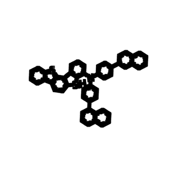 c1cc2c(c(N(c3ccc(-c4ccc5ccccc5c4)cc3)c3ccc(-c4cccc5ccccc45)cc3)c1)[SiH2]c1ccc3c(sc4ccccc43)c1-2